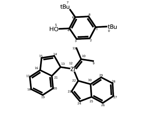 CC(C)(C)c1ccc(O)c(C(C)(C)C)c1.C[C](C)=[Zr]([CH]1C=Cc2ccccc21)[CH]1C=Cc2ccccc21